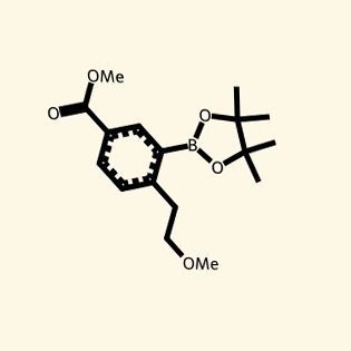 COCCc1ccc(C(=O)OC)cc1B1OC(C)(C)C(C)(C)O1